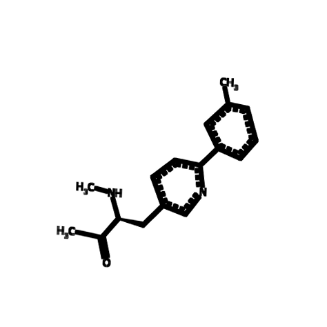 CN[C@@H](Cc1ccc(-c2cccc(C)c2)nc1)C(C)=O